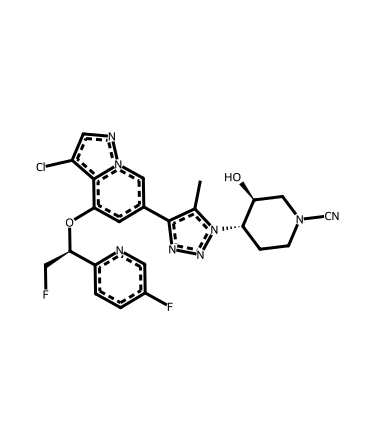 Cc1c(-c2cc(O[C@H](CF)c3ccc(F)cn3)c3c(Cl)cnn3c2)nnn1[C@H]1CCN(C#N)C[C@@H]1O